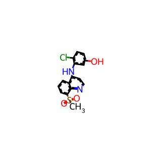 CS(=O)(=O)c1cccc2c(Nc3cc(O)ccc3Cl)ccnc12